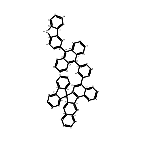 c1cc(-c2cc3c(c4ccccc24)-c2cc4ccccc4cc2C32c3ccccc3-c3ccccc32)cc(-c2c3ccccc3c(-c3ccc4oc5ccccc5c4c3)c3ccccc23)c1